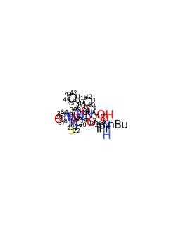 CCCCNC(=O)[C@@H](C[C@H](O)[C@H](CC1CCCCC1)NC(=O)[C@H](Cc1cscn1)NC(=O)[C@@H](CC(=O)N1CCOCC1)Cc1ccccc1)C(C)C